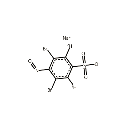 [2H]c1c(Br)c(N=O)c(Br)c([2H])c1S(=O)(=O)[O-].[Na+]